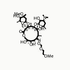 CC[C@@]1(O[C@@H]2C[C@@](C)(OC)[C@@H](O)[C@H](C)O2)[C@@H](C)C(=O)OC[C@](C)(O)[C@H](O)[C@@H](C)C(=NOCOCCOC)[C@H](C)C[C@@](C)(O)[C@H](O[C@@H]2O[C@H](C)C[C@H](N(C)C)[C@H]2O)[C@@H]1C